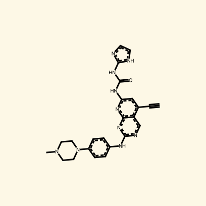 C#Cc1cc(NC(=O)Nc2ncc[nH]2)nc2nc(Nc3ccc(N4CCN(C)CC4)cc3)ncc12